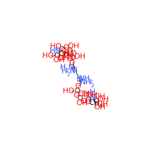 C[C@H]1O[C@H](O[C@@H]2[C@@H](CO)C[C@H](O[C@H]3C(O)C[C@H](OC/C(N)=C/N(N)CCCCN(N)/C=C(\N)CO[C@H]4C[C@@H](O)C(O[C@@H]5C[C@@H](O)[C@H](O[C@@H]6C[C@@H](O)[C@H](N[C@H]7C=C(CO)[C@@H](O)[C@H](O)C7)[C@@H](C)O6)[C@@H](CO)O5)[C@@H](CO)O4)C[C@@H]3CO)C[C@H]2O)C[C@@H](O)[C@@H]1N[C@H]1C=C(CO)[C@@H](O)[C@H](O)C1O